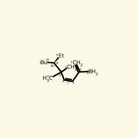 BC(=C)/C=C\C(C)(C)[C@H](CC)C(C)CC